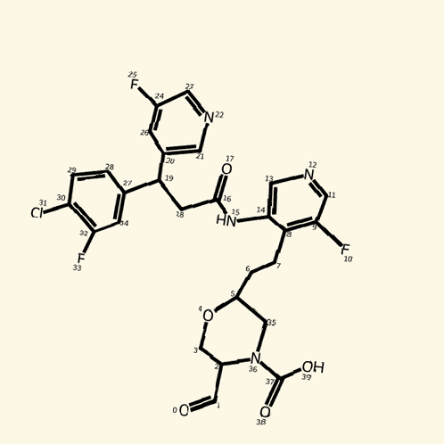 O=CC1COC(CCc2c(F)cncc2NC(=O)CC(c2cncc(F)c2)c2ccc(Cl)c(F)c2)CN1C(=O)O